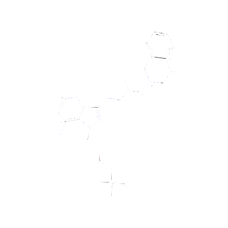 C[Si](C)(C)CCOCn1nc(NCC(O)CN2CCc3ccccc3C2)c2ncnc(N)c21